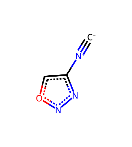 [C-]#[N+]c1conn1